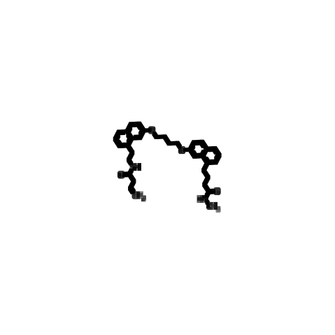 C=CCC(=O)NCCc1cccc2ccc(OCCCCOc3ccc4cccc(CCCC(=O)NC)c4c3)cc12